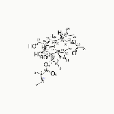 C/C=C(\C)C(=O)O[C@H]1C(C)=C[C@]23C(O)[C@@H](C=C(CO)[C@@H](O)[C@]12O)[C@@H]1C(C)(C)[C@]1(OC(C)=O)C[C@H]3C